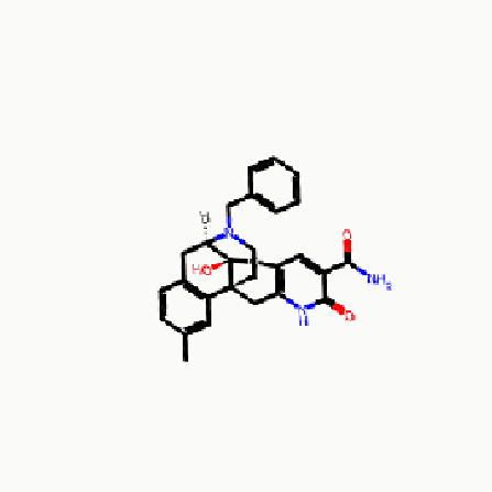 Cc1ccc2c(c1)[C@]13CCN(Cc4ccccc4)[C@H](C2)[C@]1(O)Cc1cc(C(N)=O)c(=O)[nH]c1C3